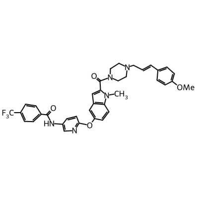 COc1ccc(C=CCN2CCN(C(=O)c3cc4cc(Oc5ccc(NC(=O)c6ccc(C(F)(F)F)cc6)cn5)ccc4n3C)CC2)cc1